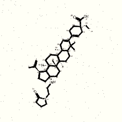 C=C(C)[C@@H]1CC[C@]2(NCCN3CCCC3=O)CC[C@]3(C)[C@H](CCC4[C@@]5(C)CC=C(C6=CC[C@](CF)(C(=O)O)CC6)C(C)(C)C5CC[C@]43C)C12